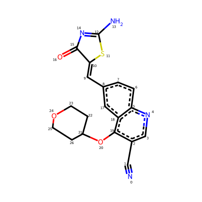 N#Cc1cnc2ccc(/C=C3\SC(N)=NC3=O)cc2c1OC1CCOCC1